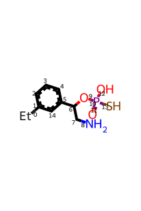 CCc1cccc(C(CN)OP(=O)(O)S)c1